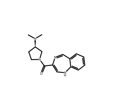 CN(C)[C@@H]1CCN(C(=O)C2=CNc3ccccc3C=N2)C1